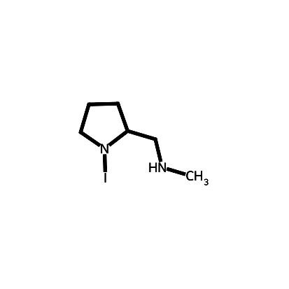 CNCC1CCCN1I